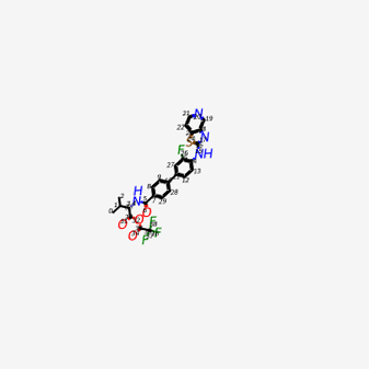 CC(C)[C@H](NC(=O)c1ccc(-c2ccc(Nc3nc4cnccc4s3)c(F)c2)cc1)C(=O)OC(=O)C(F)(F)F